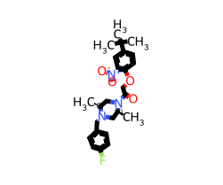 C[C@@H]1CN(C(=O)COc2ccc(C(C)(C)C)cc2[N+](=O)[O-])[C@@H](C)CN1Cc1ccc(F)cc1